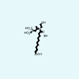 CCCCCCCCC=CCCCCCCCC(=O)N(CCO)C(C)CN(C(=O)O)C(=O)O.[Na]